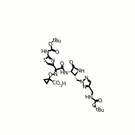 CC(C)(C)OC(=O)NCc1cnn(C[C@H]2NC(=O)[C@H]2NC(=O)C(=NOC2(C(=O)O)CC2)c2csc(NC(=O)OC(C)(C)C)n2)n1